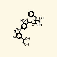 O=C(O)C(Cc1ccccc1)(OCc1n[nH]c2cc(-n3nnc4c(F)cc(C(O)CO)cc43)ccc12)C(=O)O